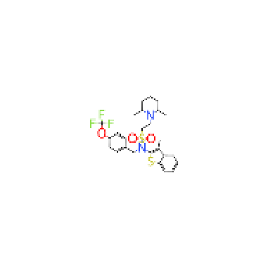 Cc1c(N(Cc2ccc(OC(F)(F)F)cc2)S(=O)(=O)CCN2C(C)CCCC2C)sc2ccccc12